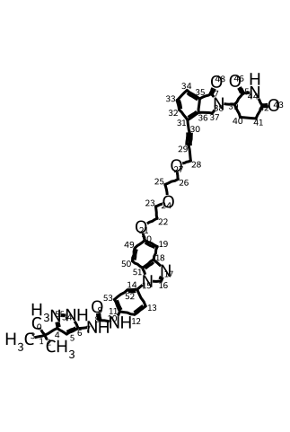 CC(C)(C)c1cc(NC(=O)Nc2ccc(-n3cnc4cc(OCCOCCOCC#Cc5cccc6c5CN(C5CCC(=O)NC5=O)C6=O)ccc43)cc2)[nH]n1